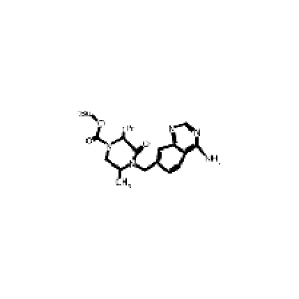 CCCC1C(=O)N(Cc2ccc3c(N)ncnc3c2)C(C)CN1C(=O)OC(C)(C)C